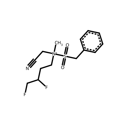 C[N+](CC#N)(CCC(F)CF)S(=O)(=O)Cc1ccccc1